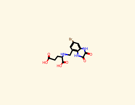 O=C(O)CCC(NCc1cc(Br)cc2[nH]c(=O)c(=O)[nH]c12)C(=O)O